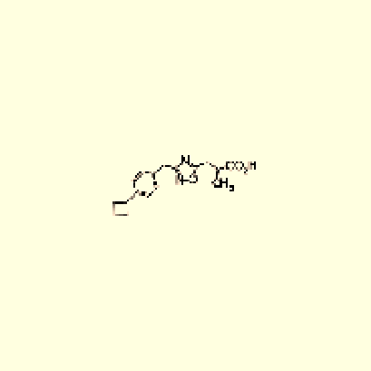 C=C(Cc1nc(Cc2ccc(C3CCC3)cc2)no1)C(=O)O